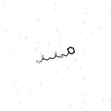 NC(=O)CCCC(=O)NCCc1ccccc1